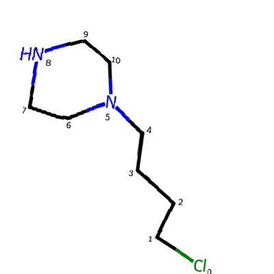 ClCCCCN1CCNCC1